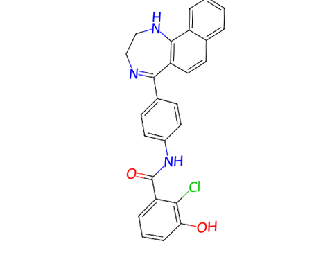 O=C(Nc1ccc(C2=NCCNc3c2ccc2ccccc32)cc1)c1cccc(O)c1Cl